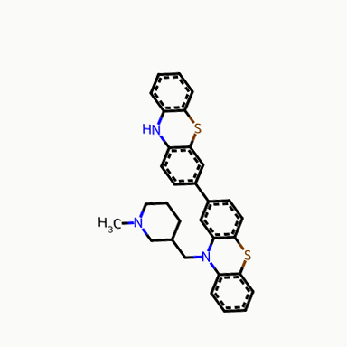 CN1CCCC(CN2c3ccccc3Sc3ccc(-c4ccc5c(c4)Sc4ccccc4N5)cc32)C1